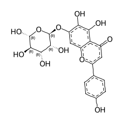 O=c1cc(-c2ccc(O)cc2)oc2cc(O[C@@H]3O[C@@H](O)[C@H](O)[C@@H](O)[C@H]3O)c(O)c(O)c12